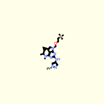 CC(C1CC1)N(C)c1nc(Nc2cnn(C(C)C)c2)nc2c1ccn2COCC[Si](C)(C)C